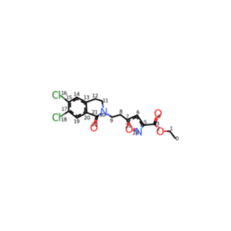 CCOC(=O)c1cc(CCN2CCc3cc(Cl)c(Cl)cc3C2=O)on1